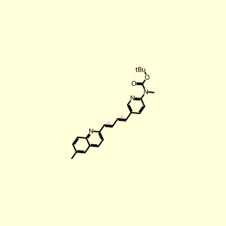 Cc1ccc2nc(/C=C/C=C/c3ccc(N(C)C(=O)OC(C)(C)C)nc3)ccc2c1